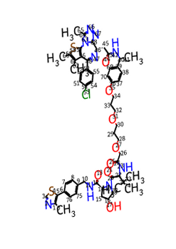 Cc1ncsc1-c1ccc(CNC(=O)[C@@H]2C[C@@H](O)CN2C(=O)C(NC(=O)COCCCOCCCOc2ccc([C@H](C)NC(=O)C[C@@H]3N=C(c4ccc(Cl)cc4)c4c(sc(C)c4C)-n4c(C)nnc43)cc2)C(C)(C)C)cc1